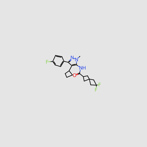 Cn1nc(-c2ccc(F)cc2)c(C2CCC2)c1NC(=O)C1CC2(C1)CC(F)(F)C2